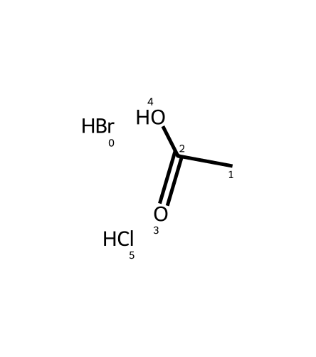 Br.CC(=O)O.Cl